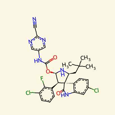 CC(C)(C)C[C@@H]1N[C@H](OC(=O)Nc2cnc(C#N)nc2)[C@H](c2cccc(Cl)c2F)[C@]12C(=O)Nc1cc(Cl)ccc12